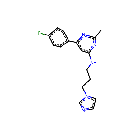 Cc1nc(NCCCn2ccnc2)cc(-c2ccc(F)cc2)n1